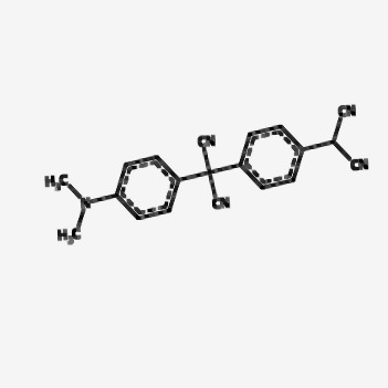 CN(C)c1ccc(C(C#N)(C#N)c2ccc(C(C#N)C#N)cc2)cc1